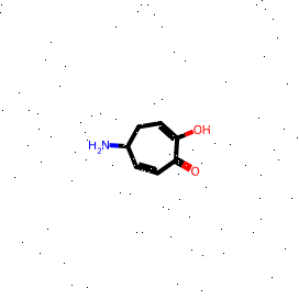 NC1C=CC(=O)C(O)=CC1